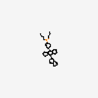 CCCCP(CCCC)c1ccc(-c2c3ccccc3c(-c3ccc4ccccc4c3)c3ccccc23)cc1